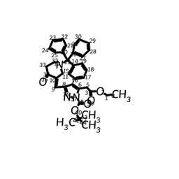 CCOC(=O)Cc1cc(/C=C2\CN(C(c3ccccc3)(c3ccccc3)c3ccccc3)CCC2=O)nn1C(=O)OC(C)(C)C